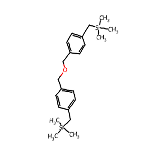 C[Si](C)(C)Cc1ccc(COCc2ccc(C[Si](C)(C)C)cc2)cc1